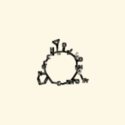 CC(C)C[C@H]1NC(=O)[C@@H](C)N(C)C(=O)[C@H](C2CC2)NCCOc2ncccc2CCCNC1=O